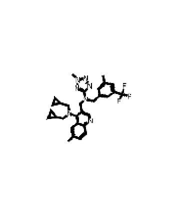 Cc1cc(CN(Cc2cnc3ccc(C)cc3c2N(CC2CC2)CC2CC2)c2nnn(C)n2)cc(C(F)(F)F)c1